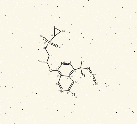 CC[C@@](C)(N=[N+]=[N-])c1cnc(OC(C)CCS(=O)(=O)C2CC2)c2cnc(Cl)cc12